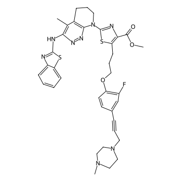 COC(=O)c1nc(N2CCCc3c2nnc(Nc2nc4ccccc4s2)c3C)sc1CCCOc1ccc(C#CCN2CCN(C)CC2)cc1F